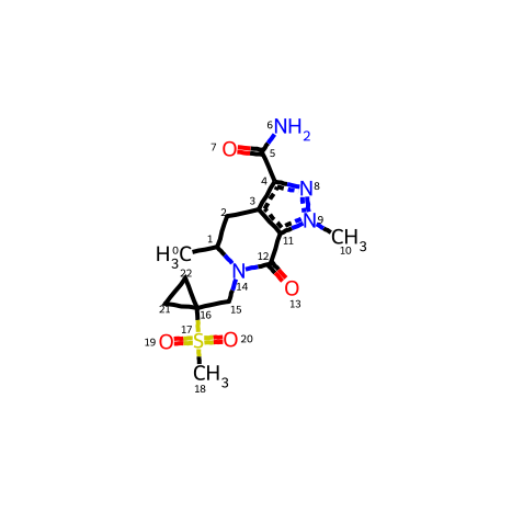 CC1Cc2c(C(N)=O)nn(C)c2C(=O)N1CC1(S(C)(=O)=O)CC1